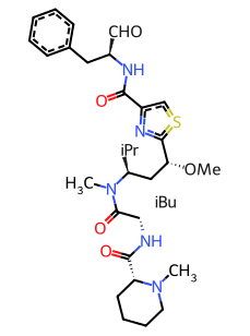 CC[C@H](C)[C@H](NC(=O)[C@H]1CCCCN1C)C(=O)N(C)[C@H](C[C@@H](OC)c1nc(C(=O)N[C@H](C=O)Cc2ccccc2)cs1)C(C)C